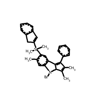 CC1=C(C)C2C(=C1c1ccccc1)c1cc([Si](C)(C)C3=Cc4ccccc4C3)c(C)cc1N2Br